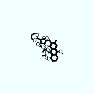 COc1c2c(c(OC(C)=O)c3c4c(c(C)cc13)C1OC3(C5OCCCO5)OC1[C@@](OC(C)=O)(O4)[C@@]31CO1)C(=O)CCC2